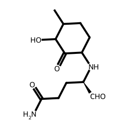 CC1CCC(N[C@@H](C=O)CCC(N)=O)C(=O)C1O